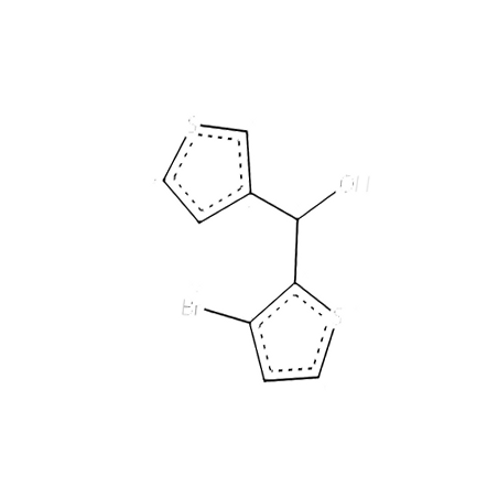 OC(c1ccsc1)c1sccc1Br